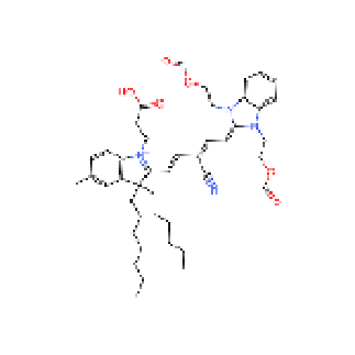 CCCCCCCC1(CCCCCC)C(/C=C/C(C#N)=C/C=C2N(CCOC=O)c3ccccc3N2CCOC=O)=[N+](CCC(=O)O)c2ccc(C)cc21